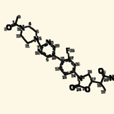 CC(=O)N1CCN(c2ncc(-c3ccc(N4CC(C(C)C(N)=O)OC4=O)cc3F)cn2)CC1